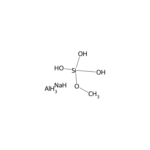 CO[Si](O)(O)O.[AlH3].[NaH]